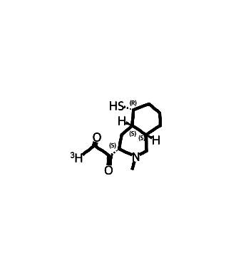 [3H]C(=O)C(=O)[C@@H]1C[C@H]2[C@H](CCC[C@H]2S)CN1C